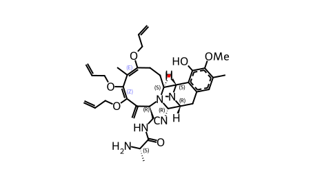 C=CCO/C1=C(OCC=C)/C(C)=C(/OCC=C)CC[C@H]2[C@@H]3c4c(cc(C)c(OC)c4O)C[C@H]([C@H](C#N)N2[C@@H](CNC(=O)[C@H](C)N)C1=C)N3C